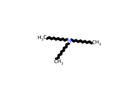 CCCCCCCCCCCN(CCCCCCCCCCC)CCCCCCCCCCC